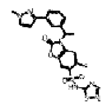 CC(c1cccc(-c2ccn(C)n2)c1)n1c(=O)oc2cc(S(=O)(=O)Nc3ncns3)c(F)cc21